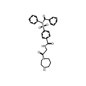 O=C(NCC(=O)N1CCCNCC1)c1ccc(S(=O)(=O)N(C(=O)c2ccccc2)c2ccccc2)cc1